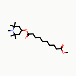 COC(=O)CCCCCCCCC(=O)OC1CC(C)(C)N(C)C(C)(C)C1